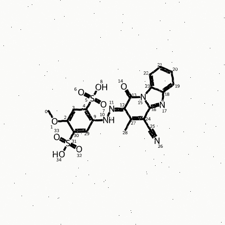 COc1cc(S(=O)(=O)O)c(N/N=C2/C(=O)n3c(nc4ccccc43)C(C#N)=C2C)cc1S(=O)(=O)O